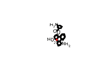 Nc1cccc(C(=O)Oc2ccccc2-c2ccccc2-c2c(N)cccc2C(=O)O)c1